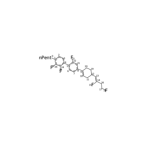 CCCCCc1ccc(-c2ccc(C3=CCC(/C=C(\F)CCF)CC3)cc2F)c(F)c1F